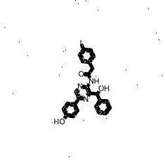 O=C(Cc1ccc(I)cc1)Nc1ncc(-c2ccc(O)cc2)nc1C(O)c1ccccc1